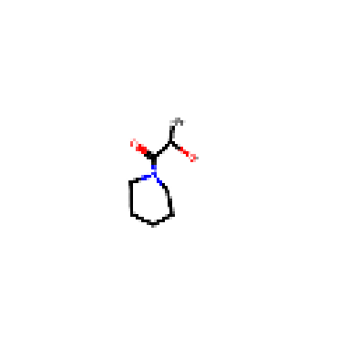 CCCC([O])C(=O)N1CCCCC1